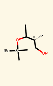 CC(O[Si](C)(C)C(C)(C)C)[C@H](C)CO